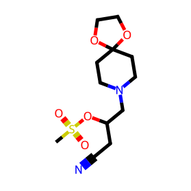 CS(=O)(=O)OC(CC#N)CN1CCC2(CC1)OCCO2